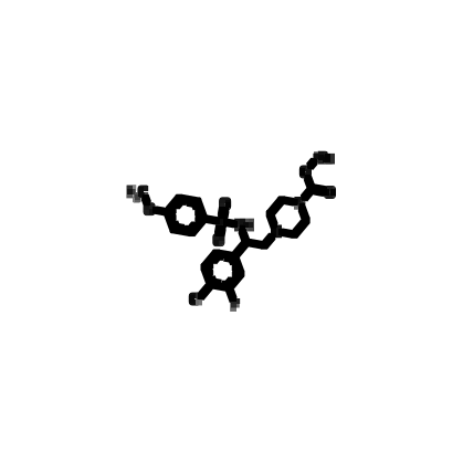 CC(C)(C)OC(=O)N1CCN(CC(NS(=O)(=O)c2ccc(OC(F)(F)F)cc2)c2ccc(Cl)c(F)c2)CC1